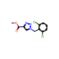 COC(=O)c1cn(Cc2c(Cl)cccc2Cl)nn1